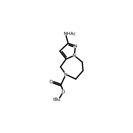 CC(=O)Nc1cc2n(n1)CCCN(C(=O)OC(C)(C)C)C2